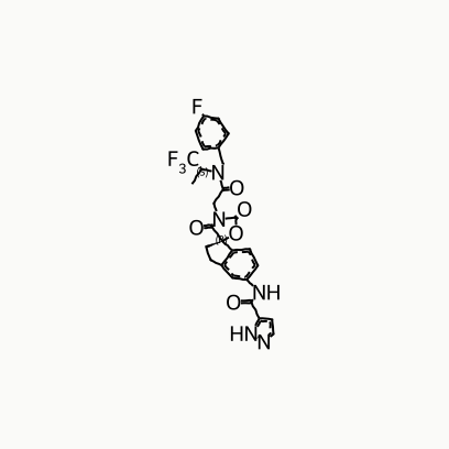 C[C@H](N(Cc1ccc(F)cc1)C(=O)CN1C(=O)O[C@@]2(CCc3cc(NC(=O)c4ccn[nH]4)ccc32)C1=O)C(F)(F)F